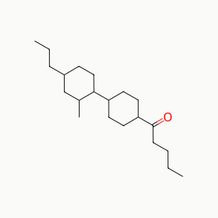 CCCCC(=O)C1CCC(C2CCC(CCC)CC2C)CC1